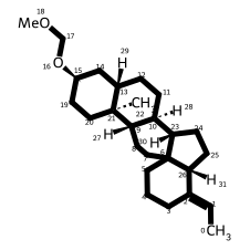 C/C=C1\CCCC23CC[C@H]4[C@@H](CC[C@H]5C[C@H](OCOC)CC[C@@]54C)[C@@H]2CC[C@H]13